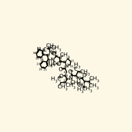 CC[C@@H](C)[C@H]([C@H](CC(=O)N1CCC[C@@H]1[C@@H](OC)[C@H](C)C(=O)N[C@H](c1ccccc1)[C@@H](NC(C)(C)C)c1ccccc1)OC)N(C)C(=O)C(NC(=O)C(C(C)C)N(C)C)C(C)C